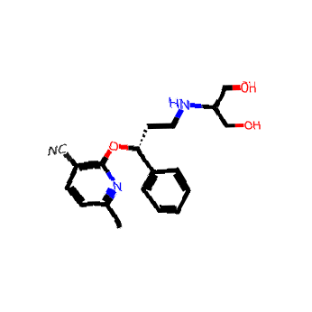 Cc1ccc(C#N)c(O[C@H](CCNC(CO)CO)c2ccccc2)n1